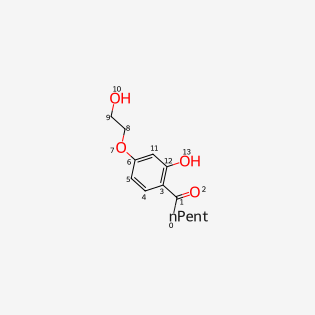 CCCCCC(=O)c1ccc(OCCO)cc1O